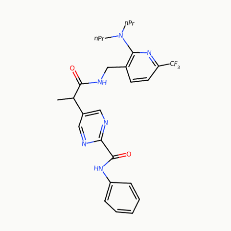 CCCN(CCC)c1nc(C(F)(F)F)ccc1CNC(=O)C(C)c1cnc(C(=O)Nc2ccccc2)nc1